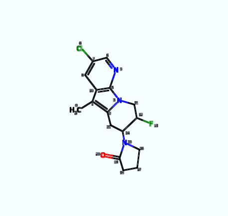 Cc1c2n(c3ncc(Cl)cc13)CC(F)C(N1CCCC1=O)C2